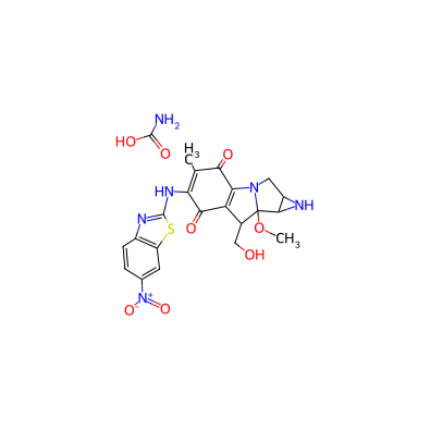 COC12C(CO)C3=C(C(=O)C(C)=C(Nc4nc5ccc([N+](=O)[O-])cc5s4)C3=O)N1CC1NC12.NC(=O)O